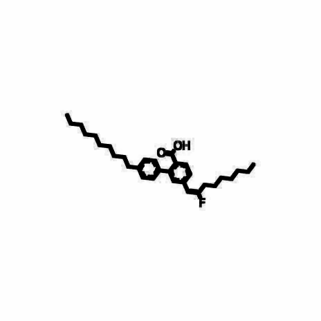 CCCCCCCCCCc1ccc(-c2cc(/C=C(/F)CCCCCCC)ccc2C(=O)O)cc1